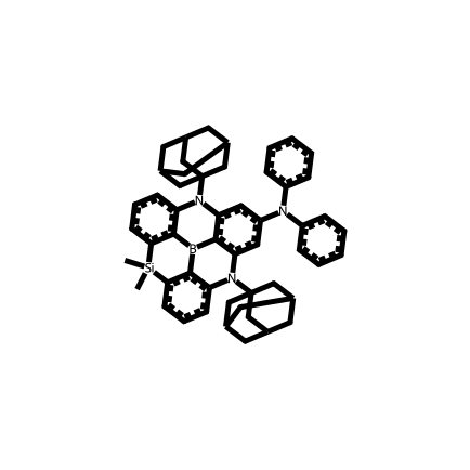 C[Si]1(C)c2cccc3c2B2c4c(cc(N(c5ccccc5)c5ccccc5)cc4N(C45CC6CC(CC(C6)C4)C5)c4cccc1c42)N3C12CC3CC(CC(C3)C1)C2